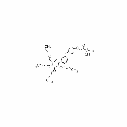 CCCCOC[C@H]1S[C@@H](c2cccc(Cc3ccc(OCC(=O)N(C)C)cc3)c2)[C@H](OCCCC)[C@@H](OCCCC)[C@@H]1OCCCC